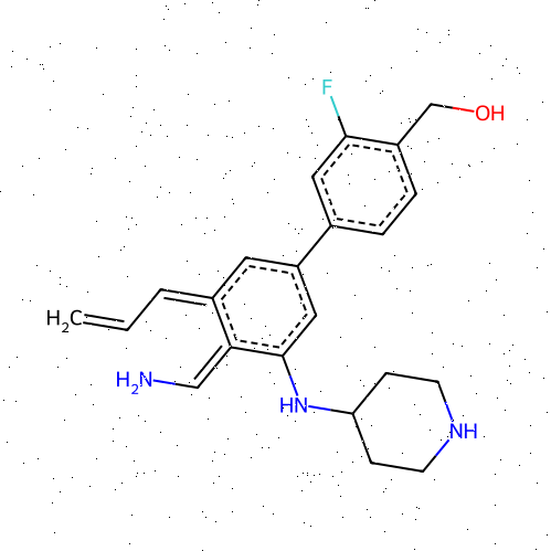 C=C/C=c1/cc(-c2ccc(CO)c(F)c2)cc(NC2CCNCC2)/c1=C/N